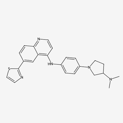 CN(C)C1CCN(c2ccc(Nc3ccnc4ccc(-c5nccs5)cc34)cc2)C1